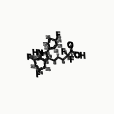 O=C(O)C(F)(F)CCCc1c(-c2ccc(F)cc2)[nH]c2c(F)cc(F)cc12